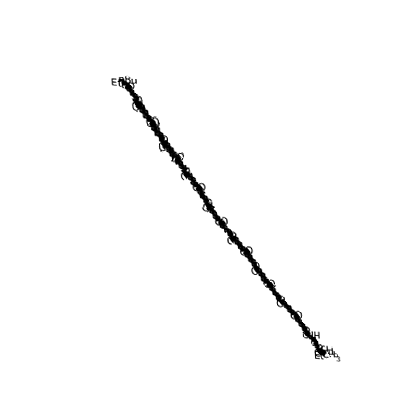 CCCCC(CC)COC(=O)CCCCCOC(=O)CCCCCOC(=O)CCCCCOC(=O)CCCCCOC(=O)CCCCCOC(=O)CCCCCOC(=O)CCCCCOC(=O)CCCCCOC(=O)CCCCCOC(=O)CCCCCOC(=O)CCCCCOC(=O)CCCCCOC(=O)CCCCCOC(=O)CCCCCOC(=O)CCCCCOC(=O)NCCOCCOC(=O)C(C)(C)CC